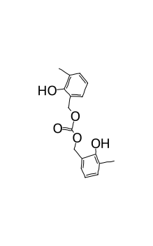 Cc1cccc(COC(=O)OCc2cccc(C)c2O)c1O